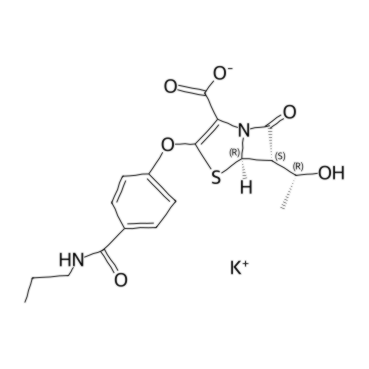 CCCNC(=O)c1ccc(OC2=C(C(=O)[O-])N3C(=O)[C@H]([C@@H](C)O)[C@H]3S2)cc1.[K+]